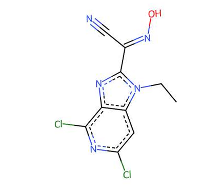 CCn1c(/C(C#N)=N/O)nc2c(Cl)nc(Cl)cc21